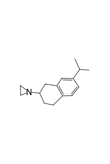 CC(C)c1ccc2c(c1)CC(N1CC1)CC2